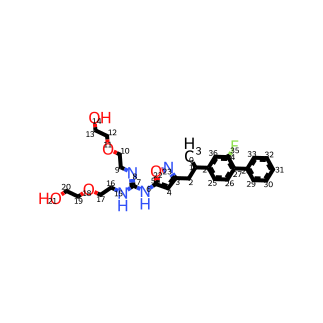 CC(Cc1cc(NC(=NCCOCCO)NCCOCCO)on1)c1ccc(-c2ccccc2)c(F)c1